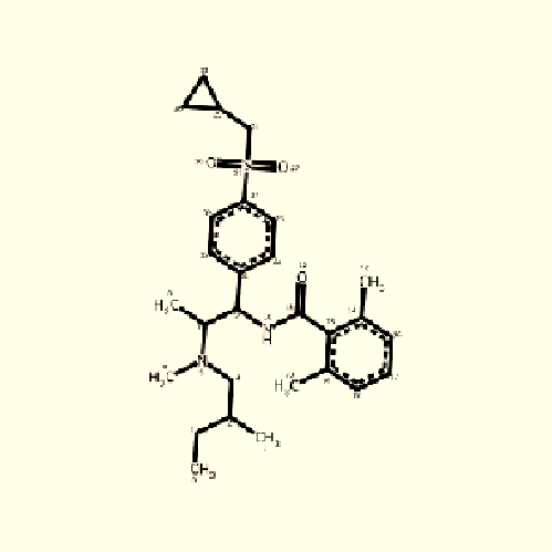 CCC(C)CN(C)C(C)C(NC(=O)c1c(C)cccc1C)c1ccc(S(=O)(=O)CC2CC2)cc1